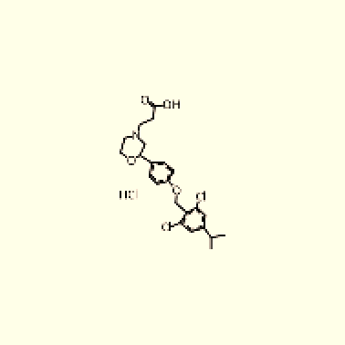 CC(C)c1cc(Cl)c(COc2ccc(C3CN(CCC(=O)O)CCO3)cc2)c(Cl)c1.Cl